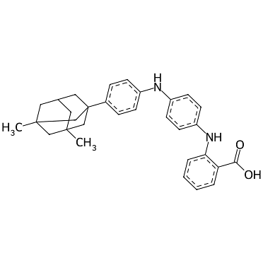 CC12CC3CC(C)(C1)CC(c1ccc(Nc4ccc(Nc5ccccc5C(=O)O)cc4)cc1)(C3)C2